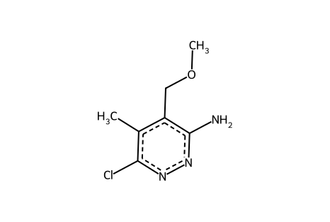 COCc1c(N)nnc(Cl)c1C